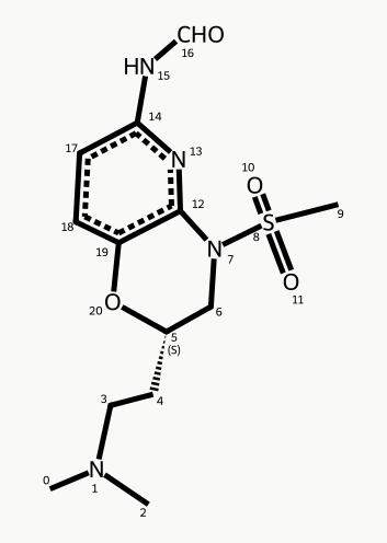 CN(C)CC[C@H]1CN(S(C)(=O)=O)c2nc(NC=O)ccc2O1